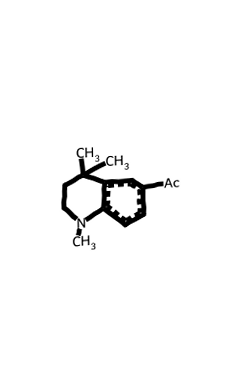 CC(=O)c1ccc2c(c1)C(C)(C)CCN2C